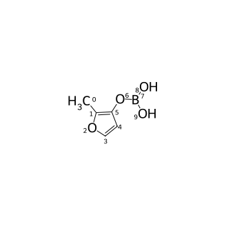 Cc1occc1OB(O)O